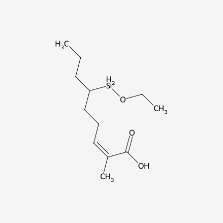 CCCC(CCC=C(C)C(=O)O)[SiH2]OCC